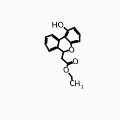 CCOC(=O)CC1Oc2cccc(O)c2-c2ccccc21